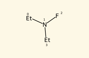 CCN(F)CC